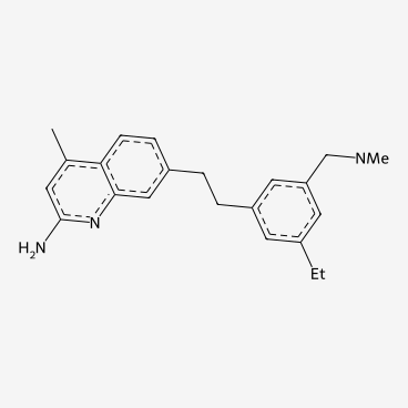 CCc1cc(CCc2ccc3c(C)cc(N)nc3c2)cc(CNC)c1